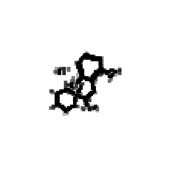 CCCC(Cc1c(O)cccc1O)[N+]1(C)CCCCC1.Cl